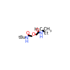 CCC(C)(C)NC(=O)COCC(=O)NC(C)(C)C